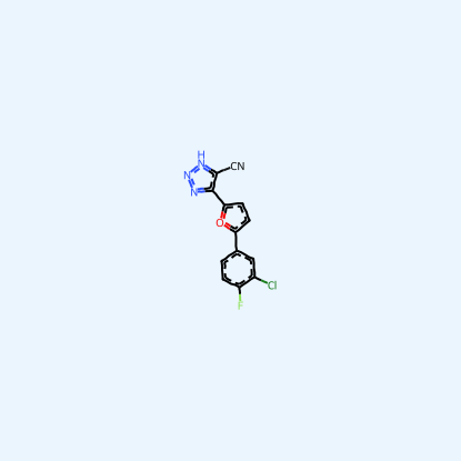 N#Cc1[nH]nnc1-c1ccc(-c2ccc(F)c(Cl)c2)o1